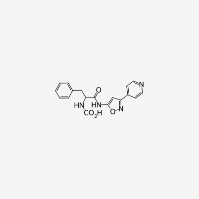 O=C(O)NC(Cc1ccccc1)C(=O)Nc1cc(-c2ccncc2)no1